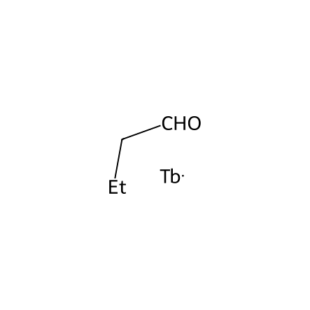 CCCC=O.[Tb]